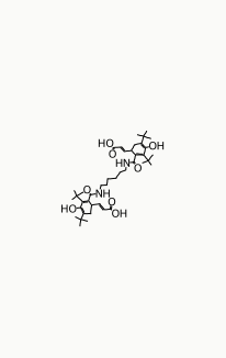 CC(C)(C)C1=C(O)C(C(C)(C)C)=C(C(=O)NCCCCCCNC(=O)C2=C(C(C)(C)C)C(O)=C(C(C)(C)C)CC2C=CC(=O)O)C(C=CC(=O)O)C1